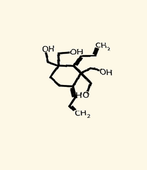 C=CC=C1CCC(CO)(CO)C(=CC=C)C1(CO)CO